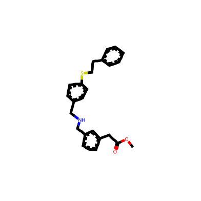 COC(=O)Cc1cccc(CNCc2ccc(SCCc3ccccc3)cc2)c1